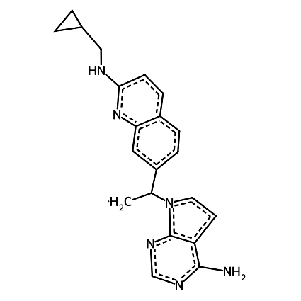 [CH2]C(c1ccc2ccc(NCC3CC3)nc2c1)n1ccc2c(N)ncnc21